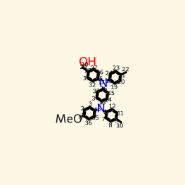 COc1ccc(N(c2ccc(C)cc2)c2ccc(N(c3ccc(C)cc3)c3ccc(CO)cc3)cc2)cc1